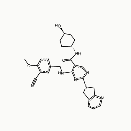 COc1ccc(CNc2nc(N3Cc4cccnc4C3)ncc2C(=O)N[C@H]2CC[C@H](O)CC2)cc1C#N